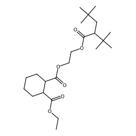 CCOC(=O)C1CCCCC1C(=O)OCCOC(=O)C(CC(C)(C)C)C(C)(C)C